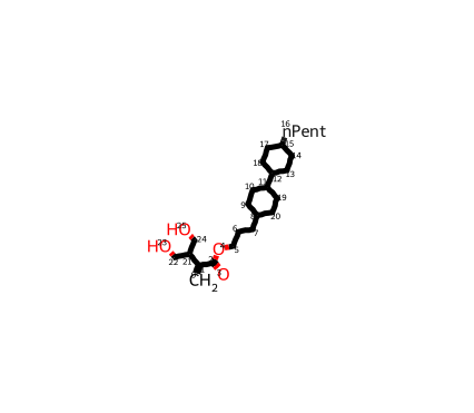 C=C(C(=O)OCCCC1CCC(C2CCC(CCCCC)CC2)CC1)C(CO)CO